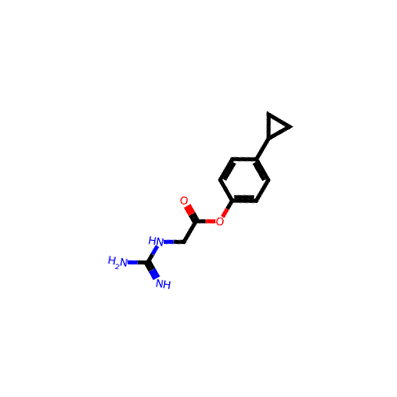 N=C(N)NCC(=O)Oc1ccc(C2CC2)cc1